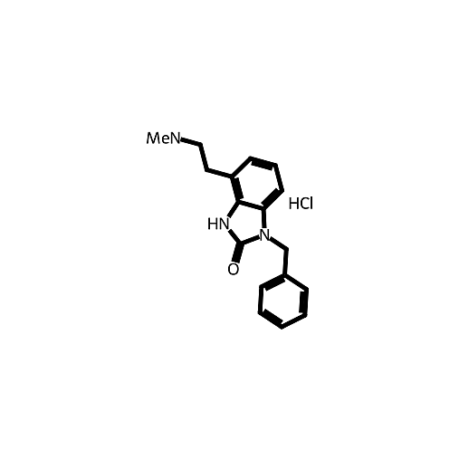 CNCCc1cccc2c1[nH]c(=O)n2Cc1ccccc1.Cl